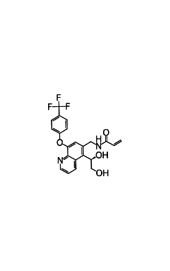 C=CC(=O)NCc1cc(Oc2ccc(C(F)(F)F)cc2)c2ncccc2c1[C@@H](O)CO